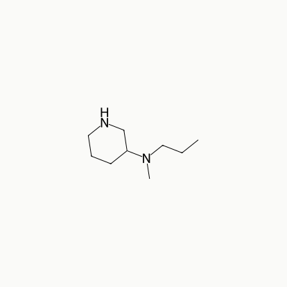 CCCN(C)C1CCCNC1